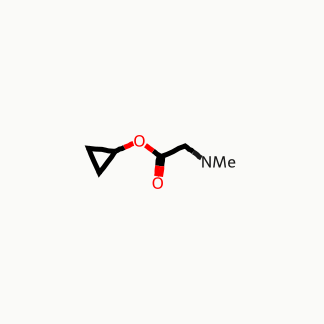 CNCC(=O)OC1CC1